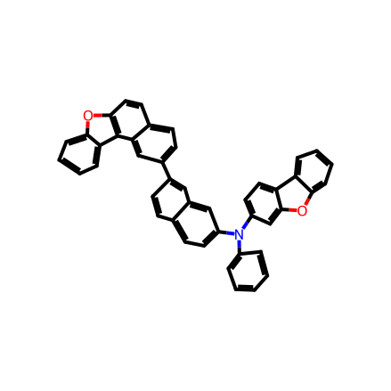 c1ccc(N(c2ccc3ccc(-c4ccc5ccc6oc7ccccc7c6c5c4)cc3c2)c2ccc3c(c2)oc2ccccc23)cc1